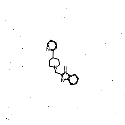 c1ccc(C2CCN(Cc3nc4ccccc4[nH]3)CC2)nc1